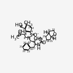 Cc1ccc([S+]([O-])N(CCN(C)C)C[C@@H](O)[C@H](Cc2ccccc2)NC(=O)O[C@H]2C[C@H]3CCO[C@H]3C2)cc1CO